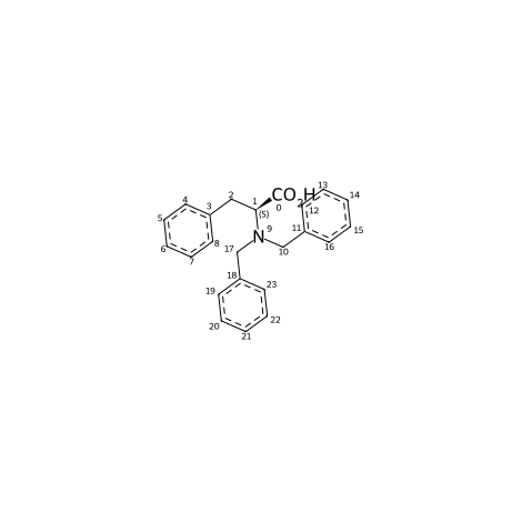 O=C(O)[C@H](Cc1ccccc1)N(Cc1ccccc1)Cc1ccccc1